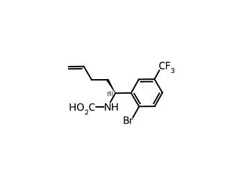 C=CCC[C@H](NC(=O)O)c1cc(C(F)(F)F)ccc1Br